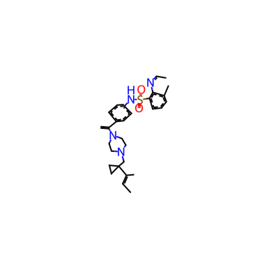 C=C(c1ccc(NS(=O)(=O)c2cccc(C)c2/N=C\C)cc1)N1CCN(CC2(/C(C)=C/C)CC2)CC1